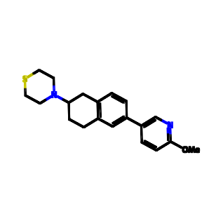 COc1ccc(-c2ccc3c(c2)CCC(N2CCSCC2)C3)cn1